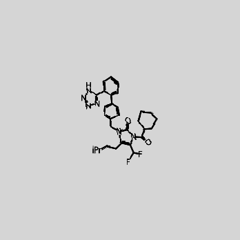 CC(C)CCc1c(C(F)F)n(C(=O)C2CCCCC2)c(=O)n1Cc1ccc(-c2ccccc2-c2nnn[nH]2)cc1